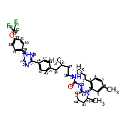 CCCc1ccc(C)cc1N1/C(=N/C(=O)NCCC(C)Cc2ccc(-c3ncn(-c4ccc(OC(F)(F)F)cc4)n3)cc2)SCCC1C